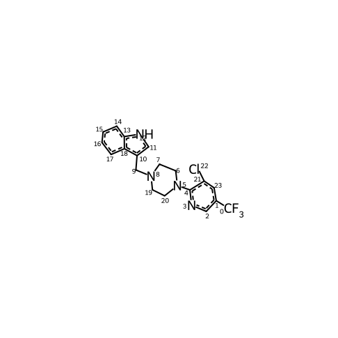 FC(F)(F)c1cnc(N2CCN(Cc3c[nH]c4ccccc34)CC2)c(Cl)c1